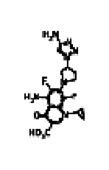 Nc1cn(C2CCN(c3c(F)c(N)c4c(=O)c(C(=O)O)cn(C5CC5)c4c3F)C2)nn1